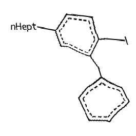 CCCCCCCc1ccc(I)c(-c2ccccc2)c1